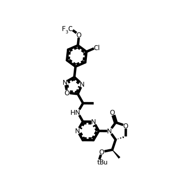 CC(Nc1nccc(N2C(=O)OC[C@@H]2[C@@H](C)OC(C)(C)C)n1)c1nc(-c2ccc(OC(F)(F)F)c(Cl)c2)no1